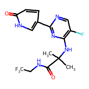 CC(C)(Nc1nc(-c2ccc(=O)[nH]c2)ncc1F)C(=O)NCC(F)(F)F